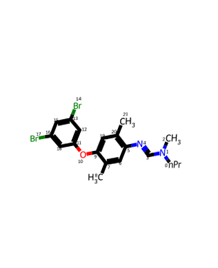 CCCN(C)/C=N/c1cc(C)c(Oc2cc(Br)cc(Br)c2)cc1C